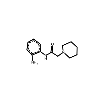 Nc1ccccc1NC(=O)CN1CCCCC1